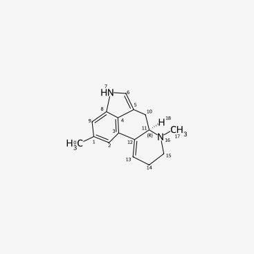 Cc1cc2c3c(c[nH]c3c1)C[C@@H]1C2=CCCN1C